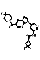 O=C(Nc1cncc(-n2ccc3cc(C(=O)N4CCC(F)(F)CC4)cnc32)c1)C1CC(F)(F)C1